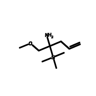 C=CCC(N)(COC)[Si](C)(C)C